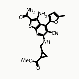 COC(=O)C1CC1CNc1nc2sc(C(N)=O)c(N)c2c(-c2ccc(C)o2)c1C#N